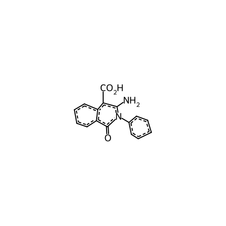 Nc1c(C(=O)O)c2ccccc2c(=O)n1-c1ccccc1